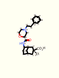 CC[C@@]1(C(=O)O)CC2CCC(NC(=O)[C@H]3CN(CCc4ccccc4)CCO3)C(C2)C1